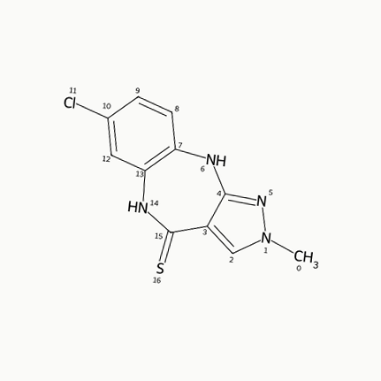 Cn1cc2c(n1)Nc1ccc(Cl)cc1NC2=S